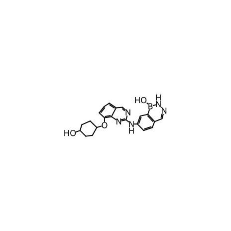 OB1NN=Cc2ccc(Nc3ncc4cccc(OC5CCC(O)CC5)c4n3)cc21